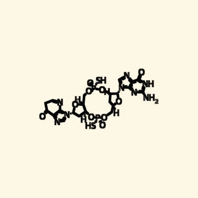 Nc1nc2c(ncn2[C@@H]2O[C@@H]3COP(=O)(S)O[C@H]4C[C@H](n5cnc6c5N=CCC6=O)O[C@@H]4CO[P@@](=O)(S)O[C@@H]2C3)c(=O)[nH]1